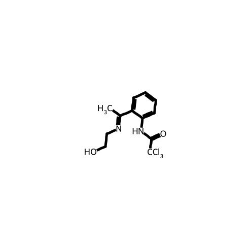 CC(=NCCO)c1ccccc1NC(=O)C(Cl)(Cl)Cl